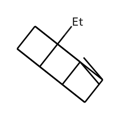 CCC12C3=C4C5C3C1C5C42